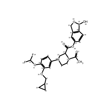 CC(=O)N1CCN(c2ccc(OC(F)F)c(OCC3CC3)c2)CC1C(=O)Oc1ccc2c(c1)COB2O